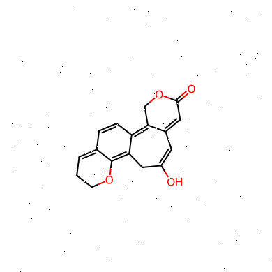 O=C1C=C2C=C(O)Cc3c4c(ccc3=C2CO1)=CCCO4